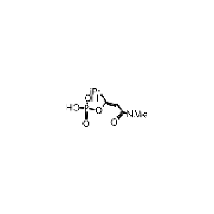 CNC(=O)C=C(OP(=O)(O)O)C(C)C